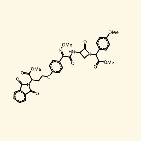 CON=C(C(=O)NC1CN(C(C(=O)OC)c2ccc(OC)cc2)C1=O)c1ccc(OCCC(C(=O)OC)N2C(=O)c3ccccc3C2=O)cc1